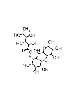 C[C@@H](O)[C@@H](O)[C@H](O)[C@@H](O)C(=O)OC[C@H]1O[C@@H](O[C@H]2[C@H](O)[C@@H](O)[C@@H](O)O[C@@H]2CO)[C@H](O)[C@@H](O)[C@H]1O